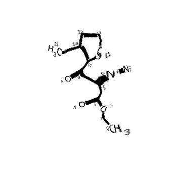 CCOC(=O)C(=[N+]=[N-])C(=O)c1sccc1C